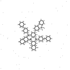 CC1(C)c2ccccc2-c2ccc(-c3cc4c5c(c3)N(c3ccc(-c6ccccc6)cc3)c3cc6ccccc6cc3B5c3cc5ccccc5cc3N4c3ccc(-c4ccccc4)cc3)cc21